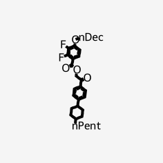 CCCCCCCCCCOc1ccc(C(=O)OCC(=O)c2ccc(C3CCC(CCCCC)CC3)cc2)c(F)c1F